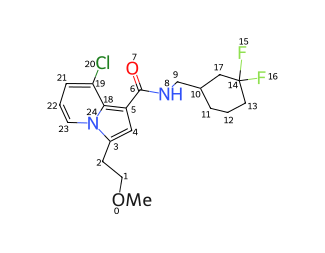 COCCc1cc(C(=O)NCC2CCCC(F)(F)C2)c2c(Cl)cccn12